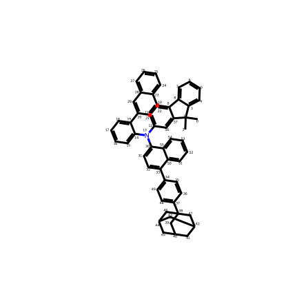 CC1(C)c2ccccc2-c2ccc(N(c3ccccc3-c3ccc4ccccc4c3)c3ccc(-c4ccc(C56CC7CC(CC(C7)C5)C6)cc4)c4ccccc34)cc21